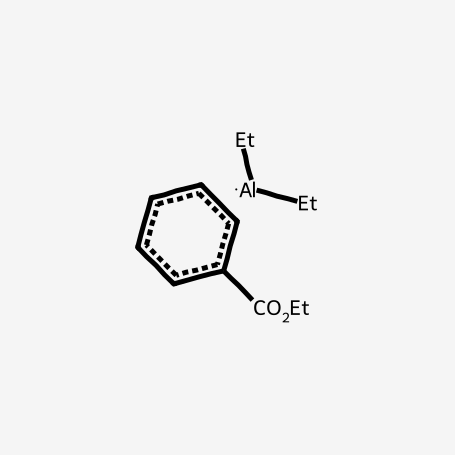 CCOC(=O)c1ccccc1.C[CH2][Al][CH2]C